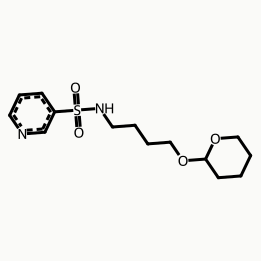 O=S(=O)(NCCCCOC1CCCCO1)c1cccnc1